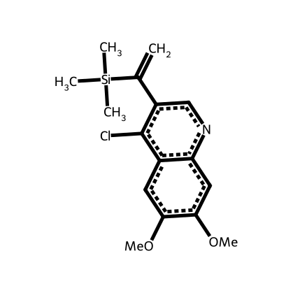 C=C(c1cnc2cc(OC)c(OC)cc2c1Cl)[Si](C)(C)C